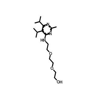 Cc1nc(NCCOCCOCCO)c(C(C)C)c(C(C)C)n1